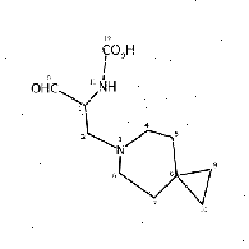 O=CC(CN1CCC2(CC1)CC2)NC(=O)O